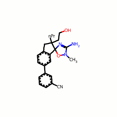 CCCC1(CCO)Cc2ccc(-c3cccc(C#N)c3)cc2C12N=C(N)N(C)O2